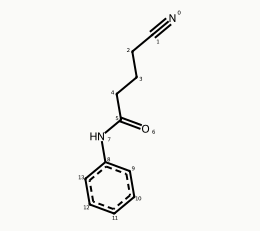 N#CCCCC(=O)Nc1ccccc1